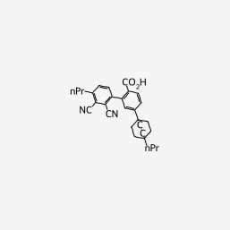 CCCc1ccc(-c2cc(C34CCC(CCC)(CC3)CC4)ccc2C(=O)O)c(C#N)c1C#N